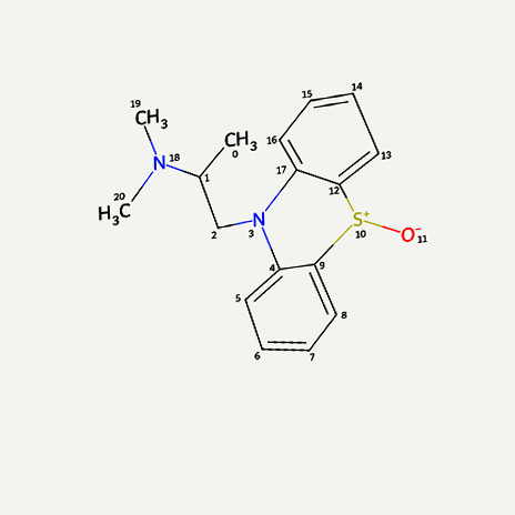 CC(CN1c2ccccc2[S+]([O-])c2ccccc21)N(C)C